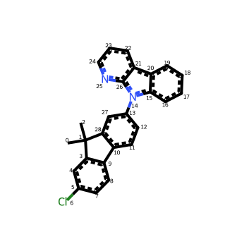 CC1(C)c2cc(Cl)ccc2-c2ccc(-n3c4ccccc4c4cccnc43)cc21